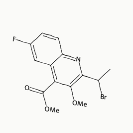 COC(=O)c1c(OC)c(C(C)Br)nc2ccc(F)cc12